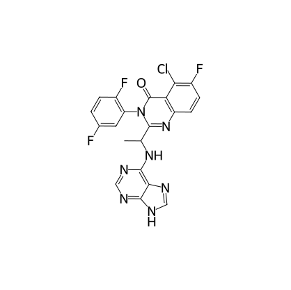 CC(Nc1ncnc2[nH]cnc12)c1nc2ccc(F)c(Cl)c2c(=O)n1-c1cc(F)ccc1F